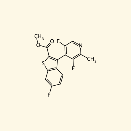 COC(=O)c1sc2cc(F)ccc2c1-c1c(F)cnc(C)c1F